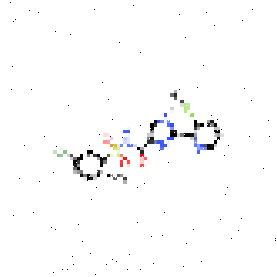 CCc1ccc(Cl)cc1S(=O)(=O)NC(=O)c1cn(C)c(-c2ncccc2F)n1